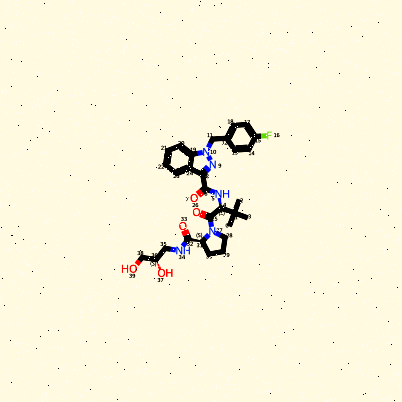 CC(C)(C)[C@H](NC(=O)c1nn(Cc2ccc(F)cc2)c2ccccc12)C(=O)N1CCC[C@H]1C(=O)NC[C@H](O)CO